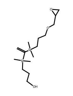 C=C([Si](C)(C)CCCO)[Si](C)(C)CCCOCC1CO1